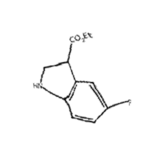 CCOC(=O)C1CNc2ccc(F)cc21